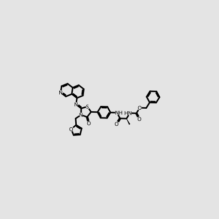 C[C@H](NC(=O)OCc1ccccc1)C(=O)Nc1ccc(C2S/C(=N\c3cccc4ccncc34)N(Cc3ccco3)C2=O)cc1